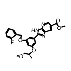 COC[C@H](C)Oc1cc(OCc2ccccc2F)cc(-c2nc3cc(C(=O)OC)cnc3[nH]2)c1